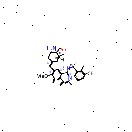 C=CC(=C)C(=C\C(\C=C1\CC[C@]2(N)COC[C@@H]2C1)=C(/C=C)OC)/C(=N\C(=C)C)N[C@H](C)c1cccc(C(F)(F)F)c1C